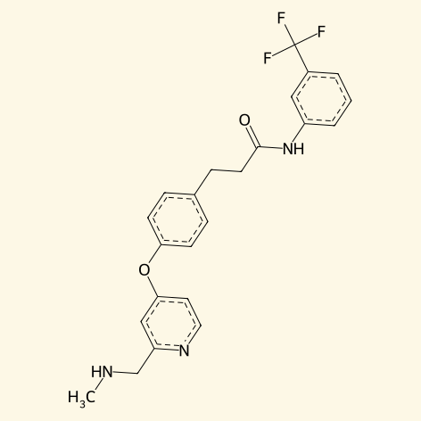 CNCc1cc(Oc2ccc(CCC(=O)Nc3cccc(C(F)(F)F)c3)cc2)ccn1